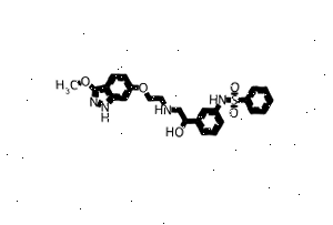 COc1n[nH]c2cc(OCCNCC(O)c3cccc(NS(=O)(=O)c4ccccc4)c3)ccc12